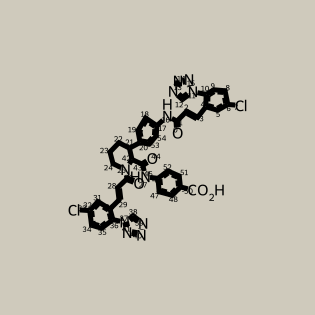 O=C(/C=C/c1cc(Cl)ccc1-n1cnnn1)Nc1ccc(C2CCCN(C(=O)/C=C/c3cc(Cl)ccc3-n3cnnn3)C2C(=O)Nc2ccc(C(=O)O)cc2)cc1